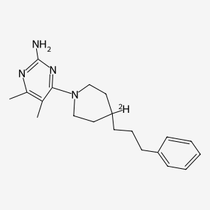 [2H]C1(CCCc2ccccc2)CCN(c2nc(N)nc(C)c2C)CC1